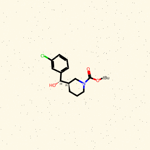 CC(C)(C)OC(=O)N1CCC[C@@H]([C@H](O)c2cccc(Cl)c2)C1